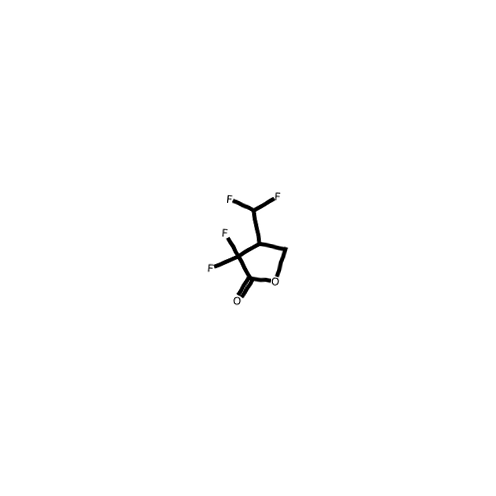 O=C1OCC(C(F)F)C1(F)F